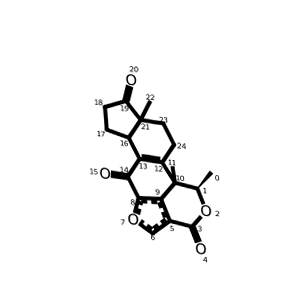 C[C@H]1OC(=O)c2coc3c2C1(C)C1=C(C3=O)C2CCC(=O)C2(C)CC1